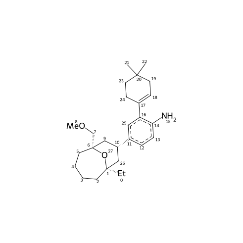 CC[C@@]12CCCC[C@@](COC)(C[C@H](c3ccc(N)c(C4=CCC(C)(C)CC4)c3)C1)O2